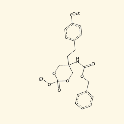 CCCCCCCCc1ccc(CCC2(NC(=O)OCc3ccccc3)COP(=O)(OCC)OC2)cc1